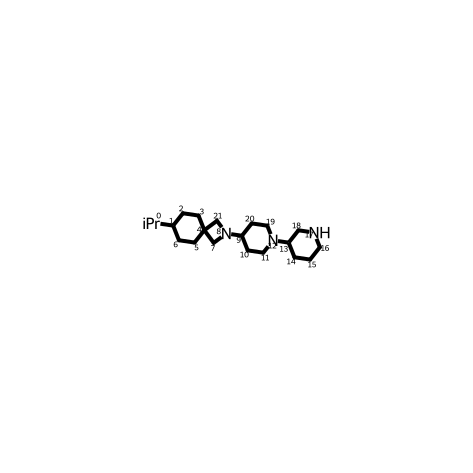 CC(C)C1CCC2(CC1)CN(C1CCN(C3CCCNC3)CC1)C2